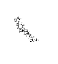 CC(COc1ccc(NCc2ccc(Oc3ccccc3)cc2)cc1)C(=O)O